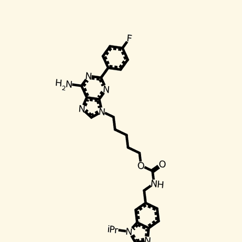 CC(C)n1cnc2ccc(CNC(=O)OCCCCCn3cnc4c(N)nc(-c5ccc(F)cc5)nc43)cc21